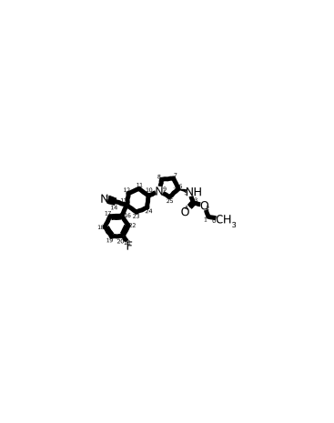 CCOC(=O)N[C@@H]1CCN(C2CCC(C#N)(c3cccc(F)c3)CC2)C1